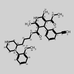 C#Cc1cccc(C2C(C(=O)OC)=C(C)NC(C)=C2C(=O)OCCCC2CNCCN2c2ccccc2OC)c1